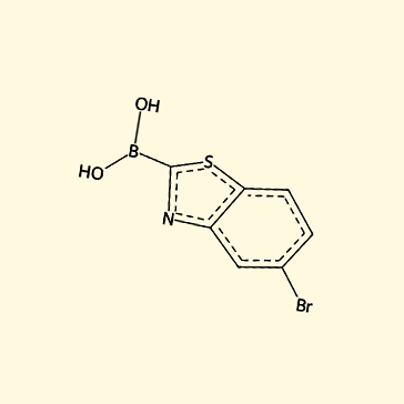 OB(O)c1nc2cc(Br)ccc2s1